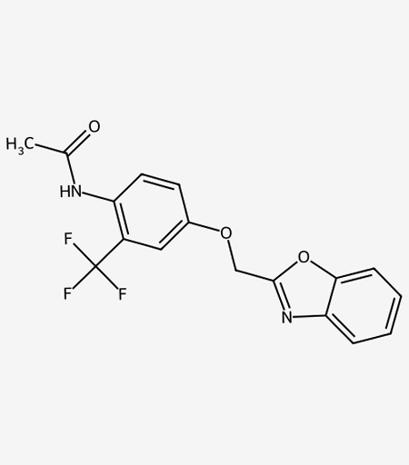 CC(=O)Nc1ccc(OCc2nc3ccccc3o2)cc1C(F)(F)F